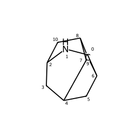 C1NC2CC3CC1CC(C3)C2